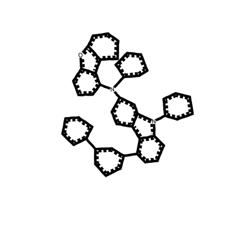 c1ccc(-c2cccc(-c3cccc4c3c3ccc(N(c5ccccc5)c5cccc6oc7ccccc7c56)cc3n4-c3ccccc3)c2)cc1